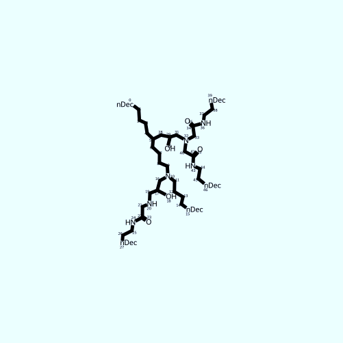 CCCCCCCCCCCCCCC(CCCCN(CCCCCCCCCCCCCC)CC(O)CNCC(=O)NCCCCCCCCCCCC)CC(O)CN(CC(=O)NCCCCCCCCCCCC)CC(=O)NCCCCCCCCCCCC